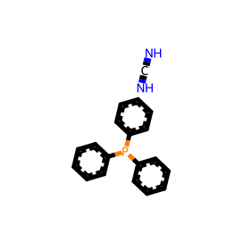 N=C=N.c1ccc(P(c2ccccc2)c2ccccc2)cc1